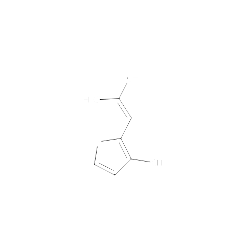 CC(C)=Cc1sccc1C